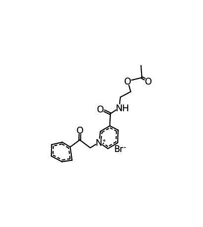 CC(=O)OCCNC(=O)c1ccc[n+](CC(=O)c2ccccc2)c1.[Br-]